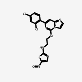 O=Nc1cnc(NCCNc2nc(-c3ccc(Cl)cc3Cl)cc3nccn23)s1